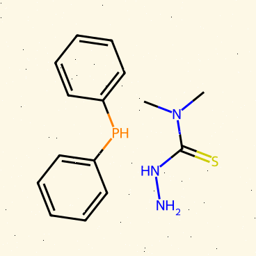 CN(C)C(=S)NN.c1ccc(Pc2ccccc2)cc1